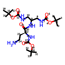 CC(C)(C)OC(=O)NCC(CNC(=O)OC(C)(C)C)NC(=O)[C@H](CCN)NC(=O)OC(C)(C)C